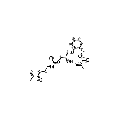 C=C(C)C(=O)OCCNC(=O)OCC(O)COc1ccccc1COC(=O)C(=C)C